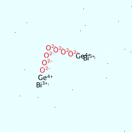 [Bi+3].[Bi+3].[Ge+4].[Ge+4].[O-2].[O-2].[O-2].[O-2].[O-2].[O-2].[O-2]